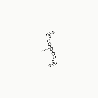 C=C(CN(C)C)C(=O)OCCOc1ccc(-c2ccc(-c3ccc(OCCOC(=O)C(=C)CN(C)C)cc3)c(CCCCCC)c2)cc1